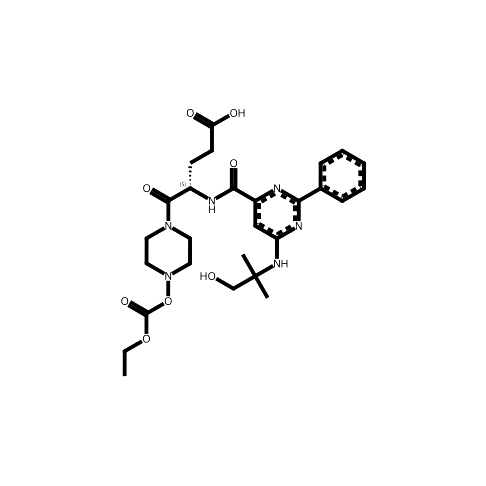 CCOC(=O)ON1CCN(C(=O)[C@H](CCC(=O)O)NC(=O)c2cc(NC(C)(C)CO)nc(-c3ccccc3)n2)CC1